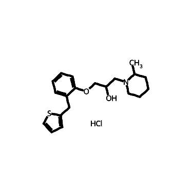 CC1CCCCN1CC(O)COc1ccccc1Cc1cccs1.Cl